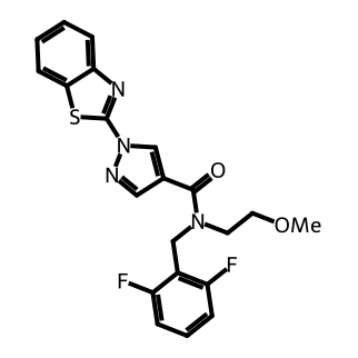 COCCN(Cc1c(F)cccc1F)C(=O)c1cnn(-c2nc3ccccc3s2)c1